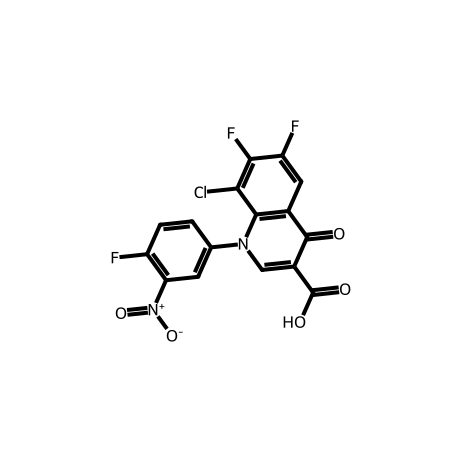 O=C(O)c1cn(-c2ccc(F)c([N+](=O)[O-])c2)c2c(Cl)c(F)c(F)cc2c1=O